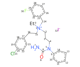 CC[N+](CCCN(C(N)=O)c1ccccc1)(CCc1ccc(Cl)cc1)Cc1cccc(F)c1.[I-]